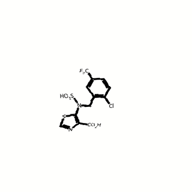 O=C(O)c1ncsc1N(Cc1cc(C(F)(F)F)ccc1Cl)S(=O)(=O)O